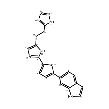 c1cc2ccc(-c3ccc(-c4nnc(SCc5nnn[nH]5)[nH]4)o3)cc2[nH]1